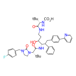 CC(C)(C)[C@H](NC(=O)O)C(=O)NCC[C@H](O)[C@@H](NC(=O)[C@@H](N1CCN(Cc2ccc(F)cc2)C1=O)C(C)(C)C)C(Cc1ccc(-c2ccccn2)cc1)c1ccccc1